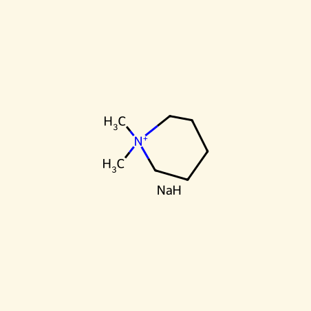 C[N+]1(C)CCCCC1.[NaH]